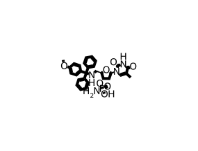 COc1ccc(C(NC[C@H]2O[C@@H](n3cc(C)c(=O)[nH]c3=O)C[C@@H]2OP(N)(=O)O)(c2ccccc2)c2ccccc2)cc1